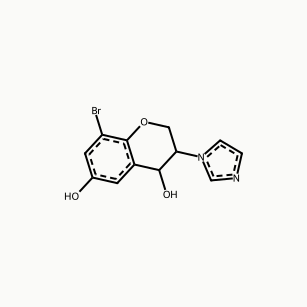 Oc1cc(Br)c2c(c1)C(O)C(n1ccnc1)CO2